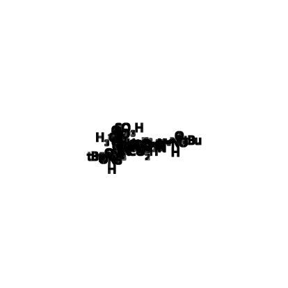 CC(C)(C)OC(=O)NCCCn1cc(-c2ccc3c(c2)CC[C@H](C(C)(O/N=C(\C(=O)N[C@@H]2C(=O)N(OS(=O)(=O)O)C2(C)C)c2csc(NC(=O)OC(C)(C)C)n2)C(=O)O)O3)cn1